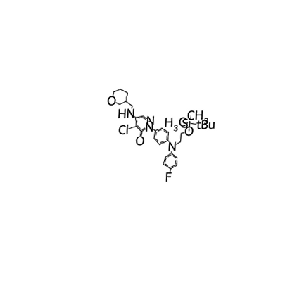 CC(C)(C)[Si](C)(C)OCCN(c1ccc(F)cc1)c1ccc(-n2ncc(NCC3CCCOC3)c(Cl)c2=O)cc1